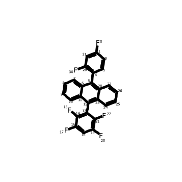 Fc1ccc(-c2c3ccccc3c(-c3c(F)c(F)cc(F)c3F)c3ccccc23)c(F)c1